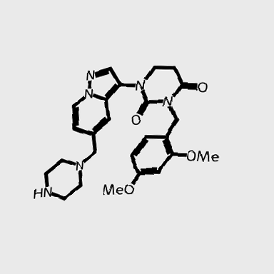 COc1ccc(CN2C(=O)CCN(c3cnn4ccc(CN5CCNCC5)cc34)C2=O)c(OC)c1